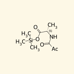 CC(=O)C(=O)N[C@@H](C)C(=O)O[Si](C)(C)C